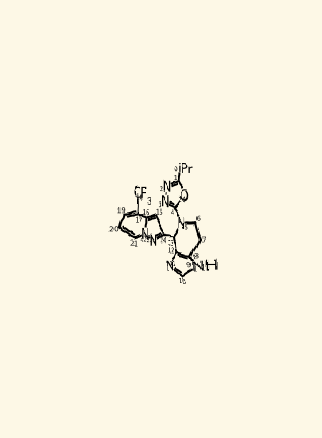 CC(C)c1nnc(N2CCc3[nH]cnc3[C@H]2c2cc3c(C(F)(F)F)cccn3n2)o1